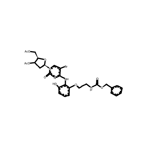 CC(=O)OC[C@H]1O[C@@H](n2cc(Br)c(Nc3c(O)cccc3OCCNC(=O)OCc3ccccc3)nc2=O)CC1OC(C)=O